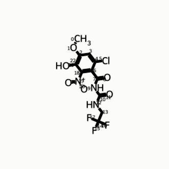 COc1cc(Cl)c(C(=O)NC(=O)NCC(F)(F)F)c([N+](=O)[O-])c1O